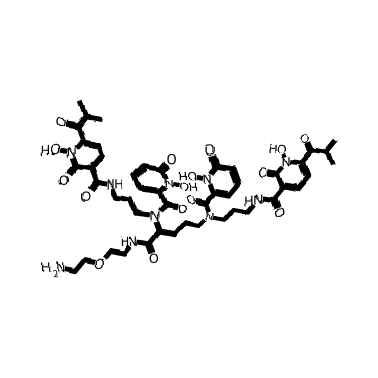 CC(C)C(=O)c1ccc(C(=O)NCCCN(CCCC(C(=O)NCCOCCN)N(CCCNC(=O)c2ccc(C(=O)C(C)C)n(O)c2=O)C(=O)c2cccc(=O)n2O)C(=O)c2cccc(=O)n2O)c(=O)n1O